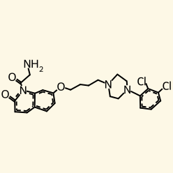 NCC(=O)n1c(=O)ccc2ccc(OCCCCN3CCN(c4cccc(Cl)c4Cl)CC3)cc21